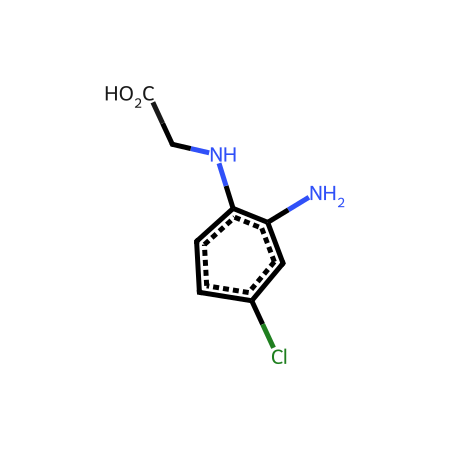 Nc1cc(Cl)ccc1NCC(=O)O